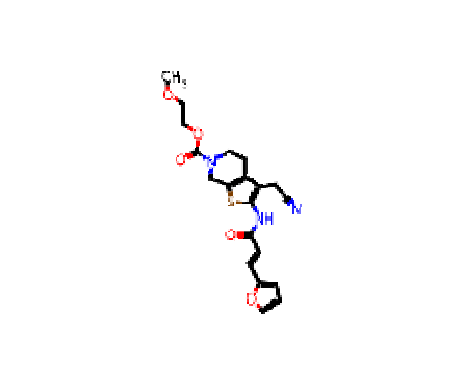 COCCOC(=O)N1CCc2c(sc(NC(=O)/C=C/c3ccco3)c2CC#N)C1